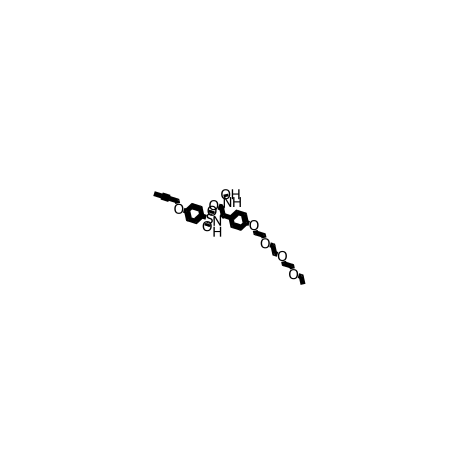 CC#CCOc1ccc(S(=O)(=O)NC(C(=O)NO)c2ccc(OCCOCCOCCOCC)cc2)cc1